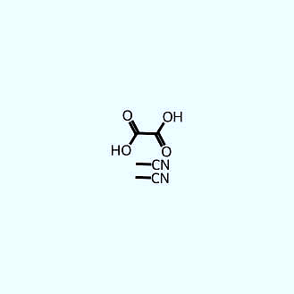 CC#N.CC#N.O=C(O)C(=O)O